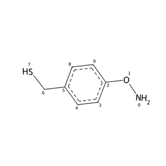 NOc1ccc(CS)cc1